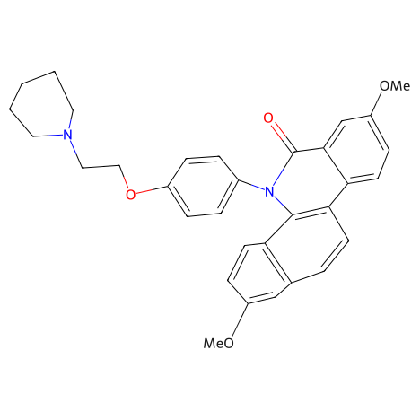 COc1ccc2c(ccc3c4ccc(OC)cc4c(=O)n(-c4ccc(OCCN5CCCCC5)cc4)c23)c1